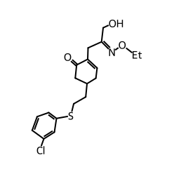 CCON=C(CO)CC1=CCC(CCSc2cccc(Cl)c2)CC1=O